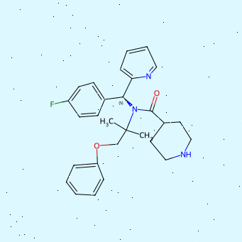 CC(C)(COc1ccccc1)N(C(=O)C1CCNCC1)[C@@H](c1ccc(F)cc1)c1ccccn1